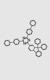 C1=CC2c3ccccc3C(c3ccccc3)(c3ccccc3)C2C=C1c1nc(-c2ccc(-c3ccccc3)cc2)nc(-c2ccc(-c3ccccc3)cc2)n1